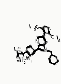 C=CC(C)(C)c1ccc(-c2cn(CC3CCCCC3)c3cc(C4=C(C)CN=C4C)cnc23)cc1